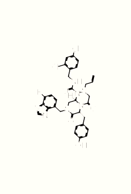 C=CCN1CC(=O)N2[C@@H](Cc3ccc(O)cc3)C(=O)N(Cc3ccc(F)c4scnc34)C[C@@H]2N1C(=O)NCc1ccc(Cl)cc1Cl